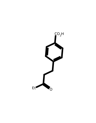 CCC(=O)CCc1ccc(C(=O)O)cc1